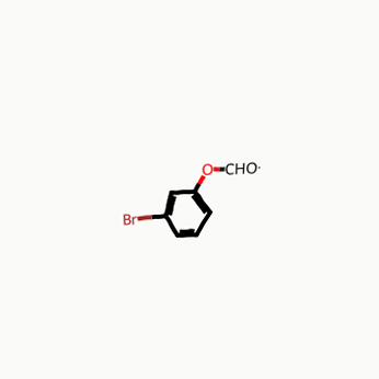 O=[C]Oc1cccc(Br)c1